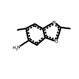 Cc1nc2cc(C)c(N)cc2o1